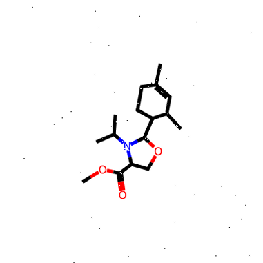 COC(=O)C1COC(C2CCC(C)=CC2C)N1C(C)C